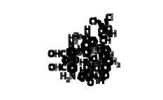 C#C[C@]1(O)CC[C@H]2[C@@H]3CCC4=Cc5oncc5C[C@]4(C)[C@H]3CC[C@@]21C.CC(C)C[C@H]1C(=O)N2CCC[C@H]2[C@]2(O)O[C@](NC(=O)[C@@H]3C=C4c5cccc6[nH]c(Br)c(c56)C[C@H]4N(C)C3)(C(C)C)C(=O)N12.Nc1ccc(S(=O)(=O)c2ccc(N)cc2)cc1.O=CCCCC=O.O=P1(N(CCCl)CCCl)NCCCO1